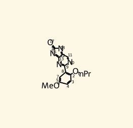 CCCOc1ccc(OC)cc1-c1ncc2c(n1)=NC(=O)N=2